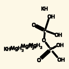 O=P(O)(O)OP(=O)(O)O.[KH].[KH].[MgH2].[MgH2].[MgH2]